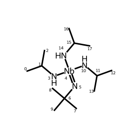 CC(C)[NH][Nb](=[N]C(C)(C)C)([NH]C(C)C)[NH]C(C)C